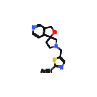 CC(=O)Nc1ncc(CN2CCC3(C2)OCc2cnccc23)s1